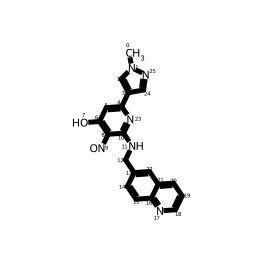 Cn1cc(-c2cc(O)c(N=O)c(NCc3ccc4ncccc4c3)n2)cn1